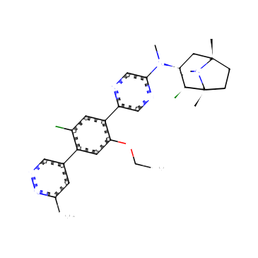 COCOc1cc(-c2cnnc(OC)c2)c(F)cc1-c1cnc(N(C)[C@H]2C[C@]3(C)CC[C@](C)([C@H]2F)N3C(=O)O)cn1